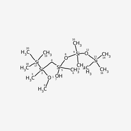 CO[Si](C)(C[Si](C)(O)O[Si](C)(C)O[Si](C)(C)C)[Si](C)(C)C